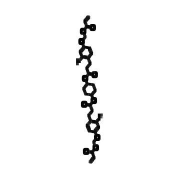 C=CC(=O)OCOc1ccc(CCC(=O)OC2CCC(OC(=O)CCc3ccc(OCOC(=O)C=C)cc3F)CC2)c(F)c1